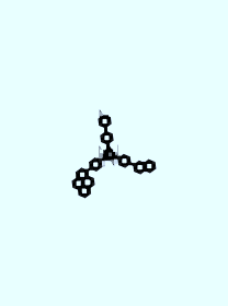 c1ccc2cc(-c3ccc(-c4nc(-c5ccc(-c6ccncc6)cc5)nc(-c5ccc(-c6ccc7ccc8cccc9ccc6c7c89)cc5)n4)cc3)ccc2c1